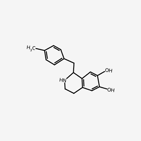 Cc1ccc(CC2NCCc3cc(O)c(O)cc32)cc1